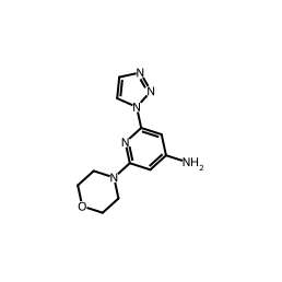 Nc1cc(N2CCOCC2)nc(-n2ccnn2)c1